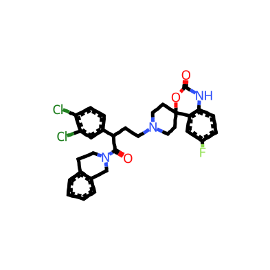 O=C1Nc2ccc(F)cc2C2(CCN(CCC(C(=O)N3CCc4ccccc4C3)c3ccc(Cl)c(Cl)c3)CC2)O1